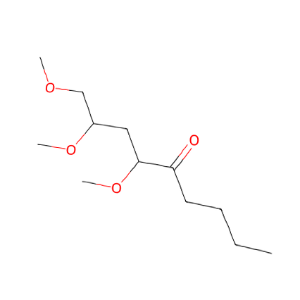 CCCCC(=O)C(CC(COC)OC)OC